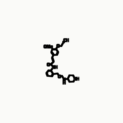 C#CCOc1ccc(/C=C/C(=O)Nc2ccccc2COCNC2CCNCC2)cc1OC